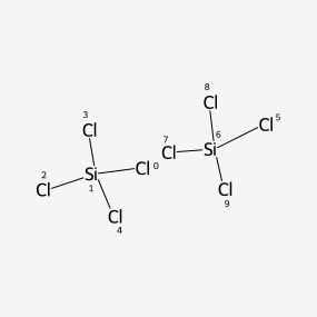 Cl[Si](Cl)(Cl)Cl.Cl[Si](Cl)(Cl)Cl